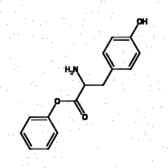 NC(Cc1ccc(O)cc1)C(=O)Oc1ccccc1